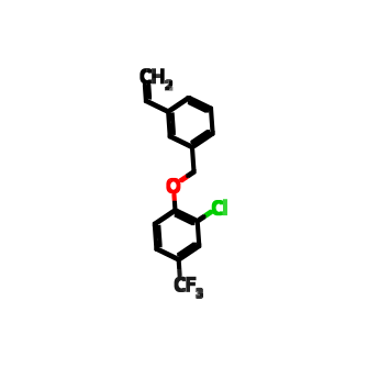 C=Cc1cccc(COc2ccc(C(F)(F)F)cc2Cl)c1